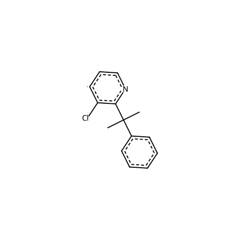 CC(C)(c1ccccc1)c1ncc[c]c1Cl